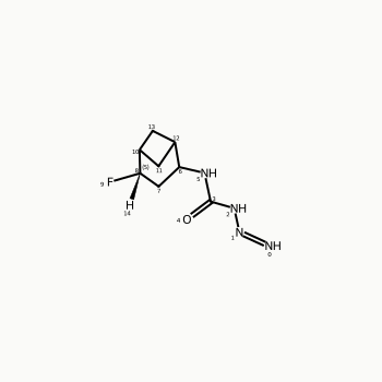 N=NNC(=O)NC1C[C@H](F)C2CC1C2